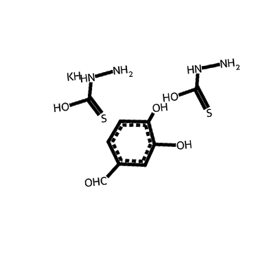 NNC(O)=S.NNC(O)=S.O=Cc1ccc(O)c(O)c1.[KH]